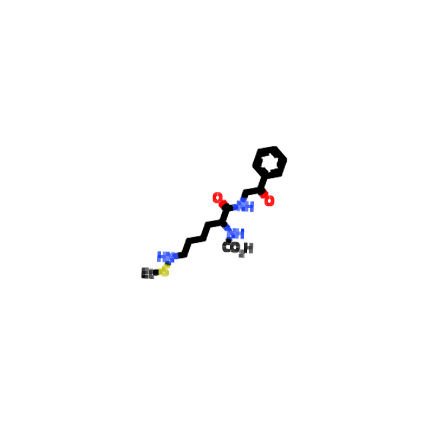 CCSNCCCCC(NC(=O)O)C(=O)NCC(=O)c1ccccc1